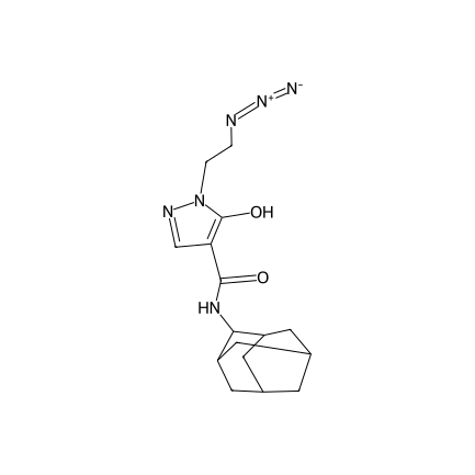 [N-]=[N+]=NCCn1ncc(C(=O)NC2C3CC4CC(C3)CC2C4)c1O